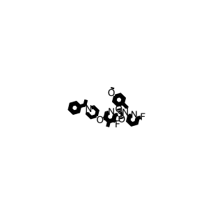 COc1ccc(CN(c2cccc(F)n2)S(=O)(=O)c2ncc(OC3CCN(C(C)c4ccccc4)CC3)c(C)c2F)cc1